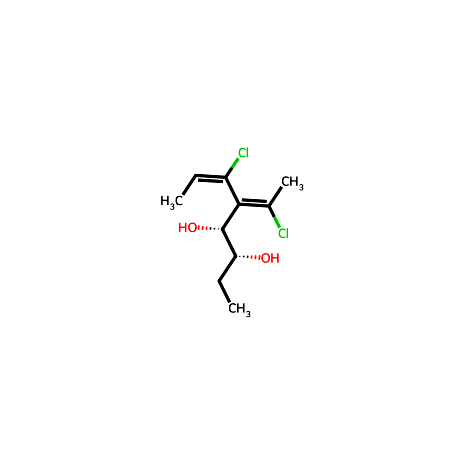 C/C=C(Cl)\C(=C(/C)Cl)[C@@H](O)[C@H](O)CC